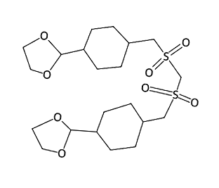 O=S(=O)(CC1CCC(C2OCCO2)CC1)CS(=O)(=O)CC1CCC(C2OCCO2)CC1